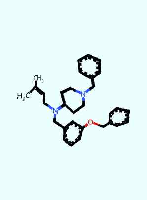 CC(C)=CCN(Cc1cccc(OCc2ccccc2)c1)C1CCN(Cc2ccccc2)CC1